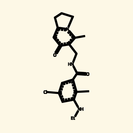 CCNc1cc(Cl)cc(C(=O)NCc2c(C)n3c(cc2=O)CCC3)c1C